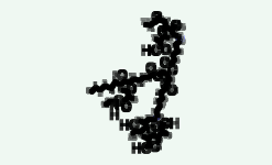 CCCCCCCC(OC)C(CCCCC(=O)OCC(COC(=O)CCCCC/C=C\CC(CO)C(CCC)OC(C(C)C(=O)O)C(C)C(C)C(=O)O)OC(=O)CCCC/C=C\CC(OC)C(CC1OC1CC)OC(C)C(C)C(=O)O)OC(C)C(C)C(=O)ONCC